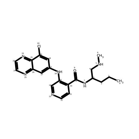 CCCC(CNC)NC(=O)c1ccncc1Nc1cc(Cl)c2nccnc2c1